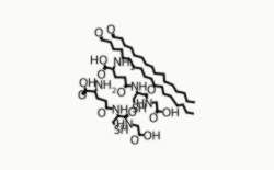 CCCCCCCCCCCCCCCC=O.CCCCCCCCCCCCCCCCCC=O.NC(CCC(=O)NC(CS)C(=O)NCC(=O)O)C(=O)O.NC(CCC(=O)NC(CS)C(=O)NCC(=O)O)C(=O)O